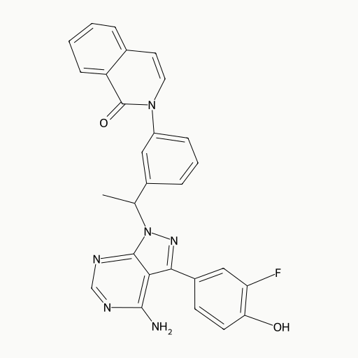 CC(c1cccc(-n2ccc3ccccc3c2=O)c1)n1nc(-c2ccc(O)c(F)c2)c2c(N)ncnc21